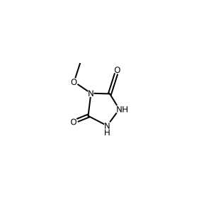 COn1c(=O)[nH][nH]c1=O